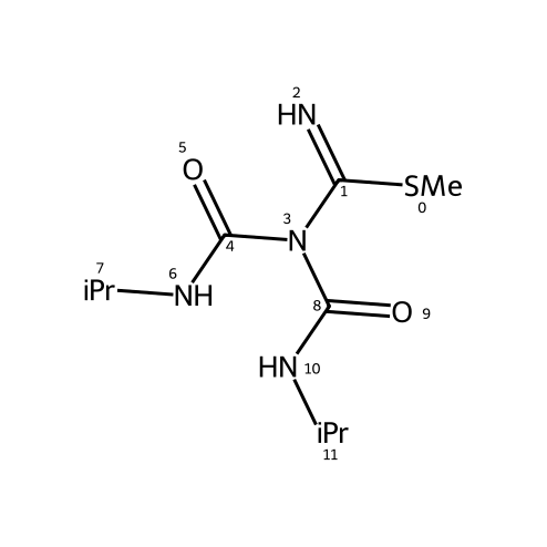 CSC(=N)N(C(=O)NC(C)C)C(=O)NC(C)C